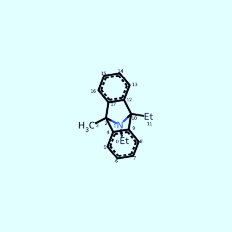 CCN1C2(C)c3ccccc3C1(CC)c1ccccc12